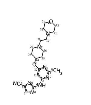 Cc1nc(Nc2ncc(C#N)s2)cc(OC2CCN(CCN3CCOCC3)CC2)n1